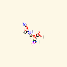 COc1ccc(C(Cc2c(Cl)c[n+]([O-])cc2Cl)OC(=O)c2ccc(CN[C@@H](CC(=O)OC3CCN(C)CC3)c3ccccc3)s2)cc1OC